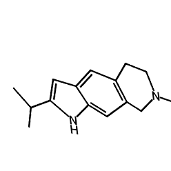 CC(C)c1cc2cc3c(cc2[nH]1)CN(C)CC3